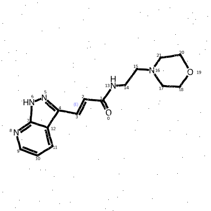 O=C(/C=C/c1n[nH]c2ncccc12)NCCN1CCOCC1